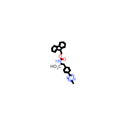 Cc1nnc(-c2ccc(CC(NC(=O)OCC3c4ccccc4-c4ccccc43)C(=O)O)cc2)nn1